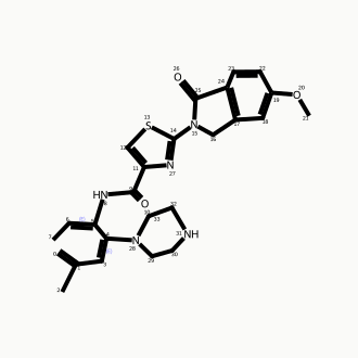 C=C(C)/C=C(\C(=C/C)NC(=O)c1csc(N2Cc3cc(OC)ccc3C2=O)n1)N1CCNCC1